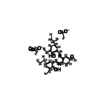 CC(=O)[O-].CC(=O)[O-].CCc1cc(C(C)CC)cc(C=Nc2ccc(OC)cc2N=Cc2cc(C(C)CC)cc(CC)c2O)c1O.[Co+2]